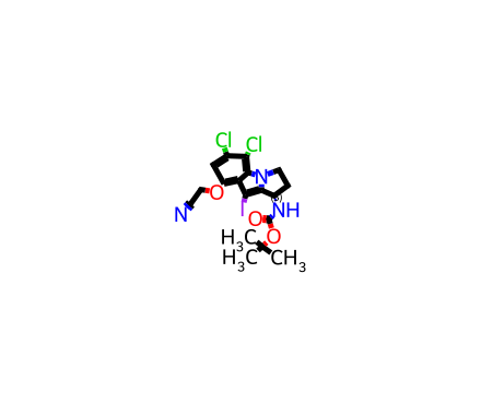 CC(C)(C)OC(=O)N[C@H]1CCn2c1c(I)c1c(OCC#N)cc(Cl)c(Cl)c12